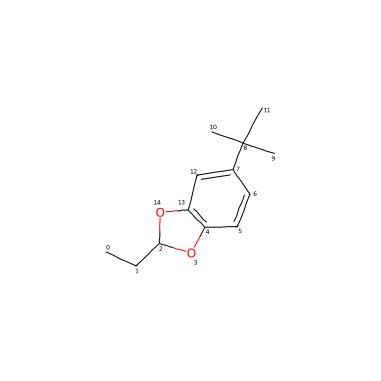 CCC1Oc2ccc(C(C)(C)C)cc2O1